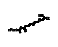 CCCCCC(C)OC(=O)CCCOCCOCC(CC)CCCC